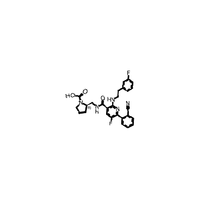 N#Cc1ccccc1-c1nc(NCCc2cccc(F)c2)c(C(=O)NC[C@H]2CCCN2C(=O)O)cc1F